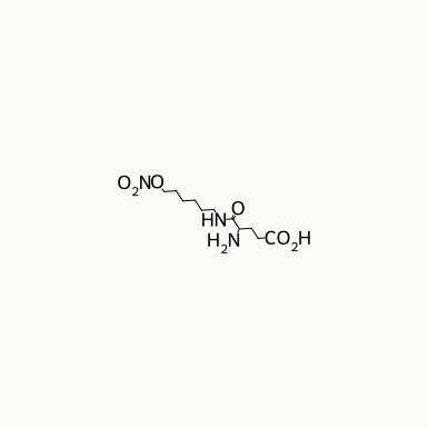 NC(CCC(=O)O)C(=O)NCCCCCCO[N+](=O)[O-]